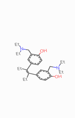 CCC(=C(CC)c1ccc(O)c(CN(CC)CC)c1)c1ccc(O)c(CN(CC)CC)c1